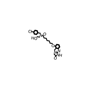 O=C1CN2Cc3c(cccc3OCCCCCCC(=O)N(CCO)Cc3ccc(Cl)cc3)N=C2N1